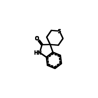 O=C1Nc2ccccc2C12CCSCC2